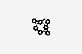 N#Cc1ccc2c(c1)c1ccccc1n2-c1cccc(-c2cccc(-n3c4cnccc4c4cc5c(cc43)oc3ccccc35)c2)c1